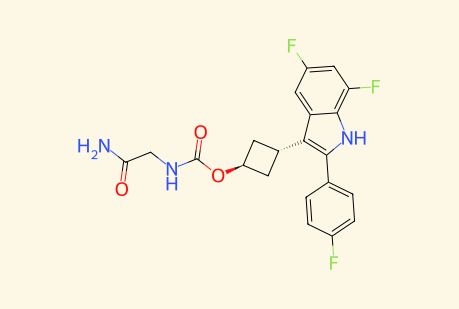 NC(=O)CNC(=O)O[C@H]1C[C@H](c2c(-c3ccc(F)cc3)[nH]c3c(F)cc(F)cc32)C1